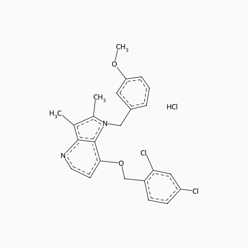 COc1cccc(Cn2c(C)c(C)c3nccc(OCc4ccc(Cl)cc4Cl)c32)c1.Cl